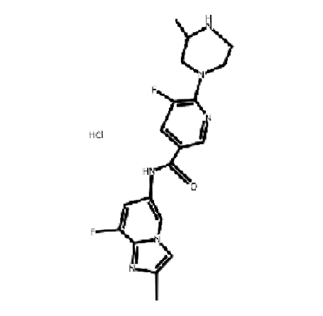 Cc1cn2cc(NC(=O)c3cnc(N4CCNC(C)C4)c(F)c3)cc(F)c2n1.Cl